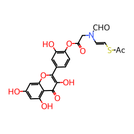 CC(=O)SC=CN(C=O)CC(=O)Oc1ccc(-c2oc3cc(O)cc(O)c3c(=O)c2O)cc1O